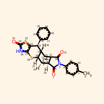 Cc1ccc(N2C(=O)[C@H]3[C@@H]4CC[C@]3(C[C@H]3[C@H](c5ccccc5)c5sc(=O)[nH]c5S[C@@H]43)C2=O)cc1